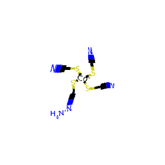 N#C[S][Co-]([S]C#N)([S]C#N)[S]C#N.[NH4+]